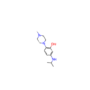 CC(C)Nc1ccc(N2CCN(C)CC2)c(O)c1